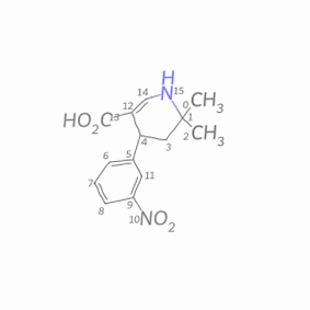 CC1(C)CC(c2cccc([N+](=O)[O-])c2)C(C(=O)O)=CN1